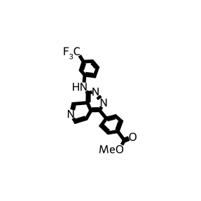 COC(=O)c1ccc(-c2nnc(Nc3cccc(C(F)(F)F)c3)c3cnccc23)cc1